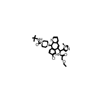 CCOCC(=O)NC(C1=Cc2cccnc2C(N2CCN(C(=O)NC(C)(C)C)CC2)c2ccc(Cl)cc21)c1cncn1C